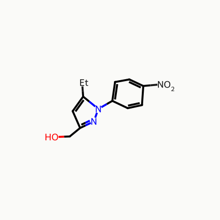 CCc1cc(CO)nn1-c1ccc([N+](=O)[O-])cc1